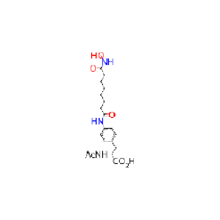 CC(=O)N[C@H](Cc1ccc(NC(=O)CCCCCCC(=O)NO)cc1)C(=O)O